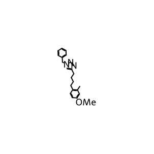 COc1ccc(CCCCc2cn(Cc3ccccc3)nn2)c(C)c1